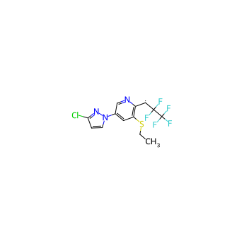 CCSc1cc(-n2ccc(Cl)n2)cnc1[CH]C(F)(F)C(F)(F)F